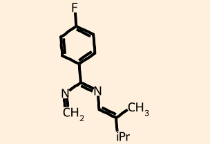 C=N/C(=N\C=C(/C)C(C)C)c1ccc(F)cc1